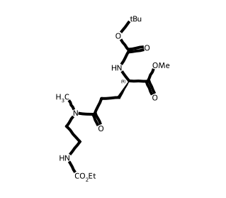 CCOC(=O)NCCN(C)C(=O)CC[C@@H](NC(=O)OC(C)(C)C)C(=O)OC